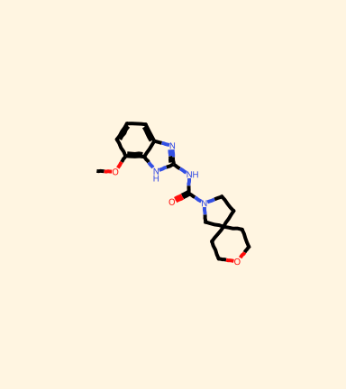 COc1cccc2nc(NC(=O)N3CCC4(CCOCC4)C3)[nH]c12